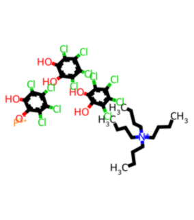 CCCC[N+](CCCC)(CCCC)CCCC.Oc1c(O)c(Cl)c(Cl)c(Cl)c1Cl.Oc1c(O)c(Cl)c(Cl)c(Cl)c1Cl.[O-]c1c(O)c(Cl)c(Cl)c(Cl)c1Cl.[P+5]